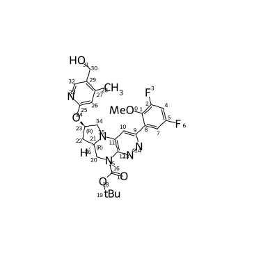 COc1c(F)cc(F)cc1-c1cc2c(nn1)N(C(=O)OC(C)(C)C)C[C@H]1C[C@@H](Oc3cc(C)c(CO)cn3)CN21